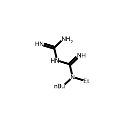 CCCCN(CC)C(=N)NC(=N)N